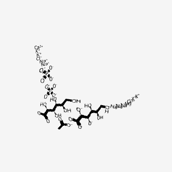 CC(=O)[O-].O=C([O-])[C@H](O)[C@@H](O)[C@H](O)[C@H](O)CO.O=C([O-])[C@H]([O-])[C@@H]([O-])[C@H](O)[C@H](O)CO.O=P([O-])([O-])[O-].O=P([O-])([O-])[O-].[Ca+2].[Cl-].[Cl-].[K+].[K+].[K+].[K+].[Mg+2].[Na+].[Na+].[Na+].[Na+].[Na+]